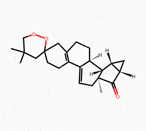 CC1(C)COOC2(CCC3=C(CC[C@@H]4C3=CC[C@]3(C)C(=O)[C@H]5C[C@H]5[C@@H]43)C2)C1